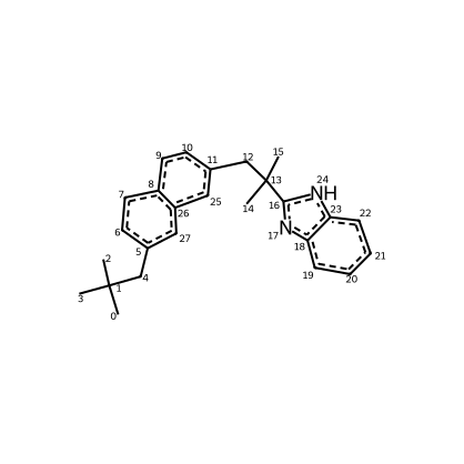 CC(C)(C)Cc1ccc2ccc(CC(C)(C)c3nc4ccccc4[nH]3)cc2c1